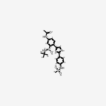 CC(=O)Nc1ccc(-c2cnc(-c3ccc(NS(C)(=O)=O)cc3)s2)c([S+]([O-])NC(C)(C)C)c1